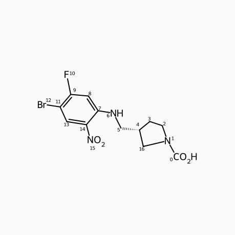 O=C(O)N1CC[C@@H](CNc2cc(F)c(Br)cc2[N+](=O)[O-])C1